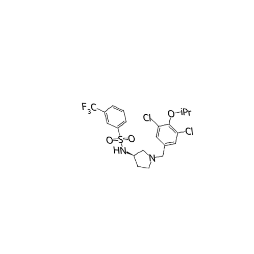 CC(C)Oc1c(Cl)cc(CN2CC[C@@H](NS(=O)(=O)c3cccc(C(F)(F)F)c3)C2)cc1Cl